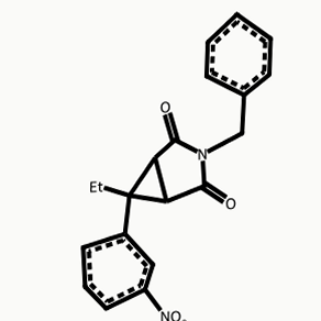 CCC1(c2cccc([N+](=O)[O-])c2)C2C(=O)N(Cc3ccccc3)C(=O)C21